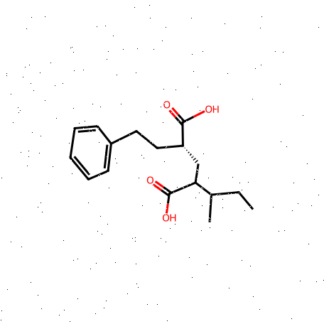 CCC(C)C(C[C@H](CCc1ccccc1)C(=O)O)C(=O)O